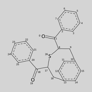 O=C(c1ccccc1)C1Cc2ccc(cc2)CC(C(=O)c2ccccc2)S1